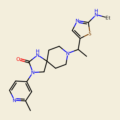 CCNc1ncc(C(C)N2CCC3(CC2)CN(c2ccnc(C)c2)C(=O)N3)s1